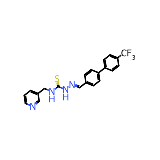 FC(F)(F)c1ccc(-c2ccc(C=NNC(=S)NCc3cccnc3)cc2)cc1